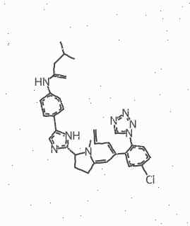 C=C/C=C(\C=C1\CCC(c2ncc(-c3ccc(NC(=C)CC(C)C)cc3)[nH]2)N1C)c1cc(Cl)ccc1-n1cnnn1